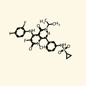 CC(C)n1nc(-c2cccc(NS(=O)(=O)C3CC3)c2)c2c(c(Nc3ccc(I)cc3F)c(F)c(=O)n2C)c1=O